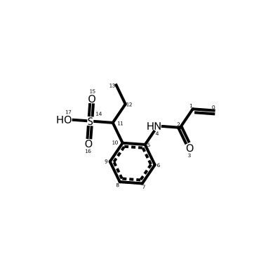 C=CC(=O)Nc1ccccc1C(CC)S(=O)(=O)O